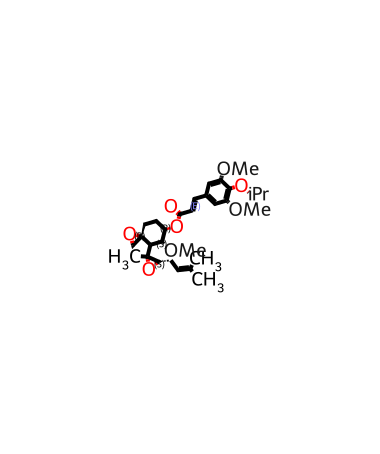 COc1cc(/C=C/C(=O)O[C@@H]2CC[C@]3(CO3)C(C3(C)O[C@H]3CC=C(C)C)[C@@H]2OC)cc(OC)c1OC(C)C